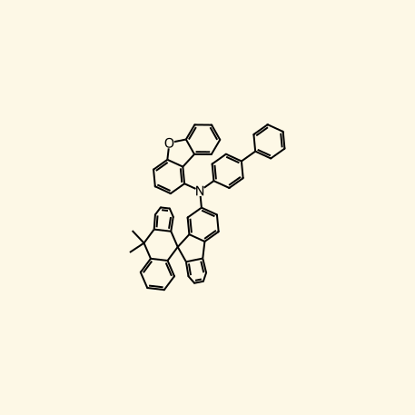 CC1(C)c2ccccc2C2(c3ccccc3-c3ccc(N(c4ccc(-c5ccccc5)cc4)c4cccc5oc6ccccc6c45)cc32)c2ccccc21